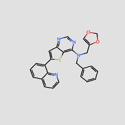 C1=C(CN(Cc2ccccc2)c2ncnc3cc(-c4cccc5cccnc45)sc23)OCO1